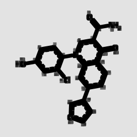 NC(=O)c1cn(-c2ccc(O)cc2Cl)c2cc(-c3ccoc3)ccc2c1=O